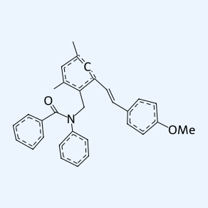 COc1ccc(C=Cc2cc(C)cc(C)c2CN(C(=O)c2ccccc2)c2ccccc2)cc1